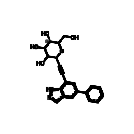 OCC1OC(C#Cc2cc(-c3ccccc3)cc3cn[nH]c23)C(O)C(O)[C@@H]1O